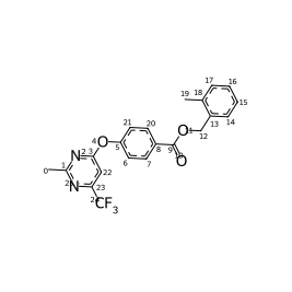 Cc1nc(Oc2ccc(C(=O)OCc3ccccc3C)cc2)cc(C(F)(F)F)n1